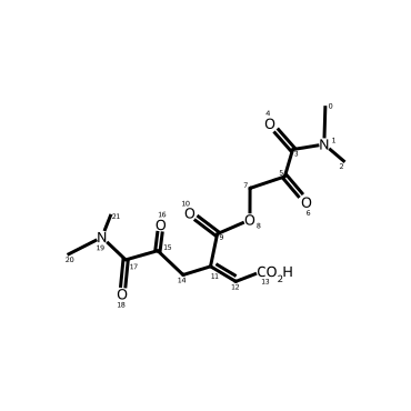 CN(C)C(=O)C(=O)COC(=O)C(=CC(=O)O)CC(=O)C(=O)N(C)C